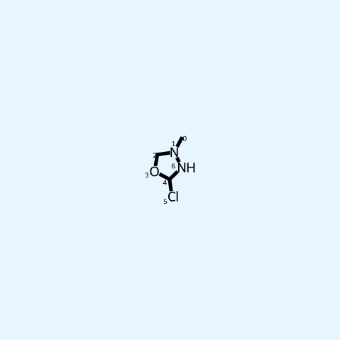 CN1COC(Cl)N1